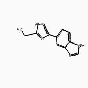 CCc1nc(-c2ccc3[nH]cnc3c2)c[nH]1